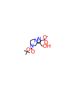 COC(=O)c1nn2c(c1CO)CN(C(=O)OC(C)(C)C)CCC2